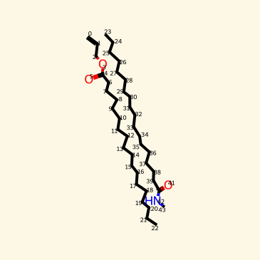 C=CCOC(=O)CCCCCCCCCCCCCCCCC.CCCCCCCCCCCCCCCCCC(=O)NC